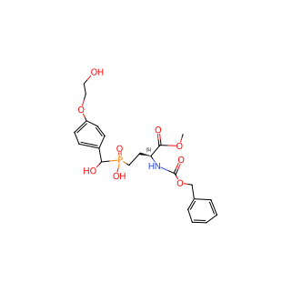 COC(=O)[C@H](CCP(=O)(O)C(O)c1ccc(OCCO)cc1)NC(=O)OCc1ccccc1